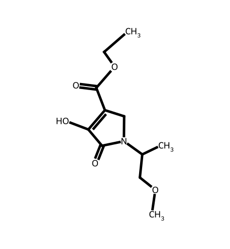 CCOC(=O)C1=C(O)C(=O)N(C(C)COC)C1